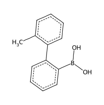 Cc1ccccc1-c1ccccc1B(O)O